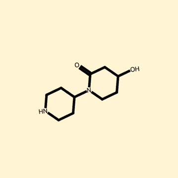 O=C1CC(O)CCN1C1CCNCC1